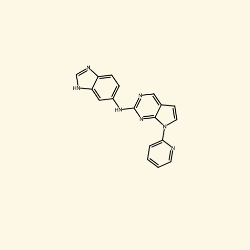 c1ccc(-n2ccc3cnc(Nc4ccc5nc[nH]c5c4)nc32)nc1